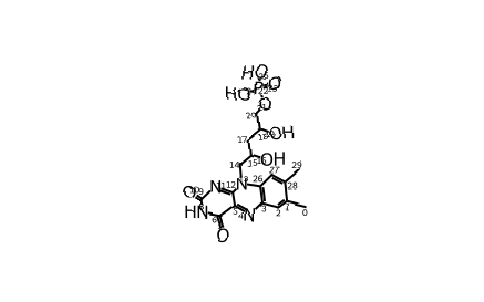 Cc1cc2nc3c(=O)[nH]c(=O)nc-3n(CC(O)CC(O)COP(=O)(O)O)c2cc1C